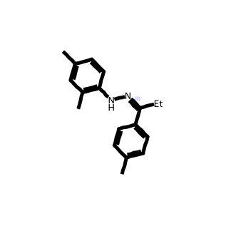 CC/C(=N/Nc1ccc(C)cc1C)c1ccc(C)cc1